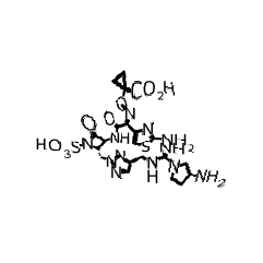 N=C(NCc1cnn(C[C@H]2C(NC(=O)/C(=N\OC3(C(=O)O)CC3)c3csc(N)n3)C(=O)N2S(=O)(=O)O)n1)N1CC[C@H](N)C1